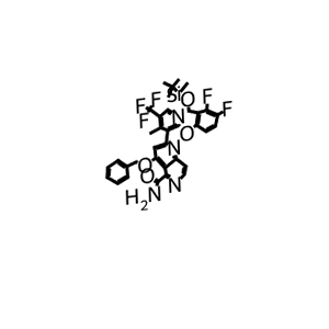 Cc1c(C(F)(F)F)cnc(Oc2ccc(F)c(F)c2CO[Si](C)(C)C(C)(C)C)c1-c1cc(OCc2ccccc2)c2c(C(N)=O)nccc2n1